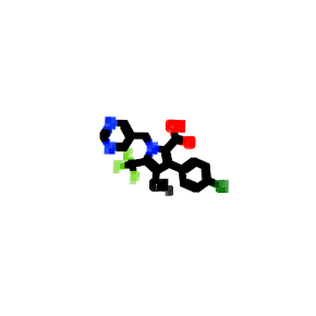 Cc1c(-c2ccc(Cl)cc2)c(C(=O)O)n(Cc2cncnc2)c1C(F)(F)F